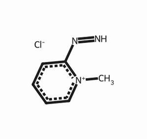 C[n+]1ccccc1N=N.[Cl-]